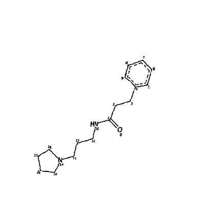 O=C(CCc1ccccc1)NCCCN1C[CH]CC1